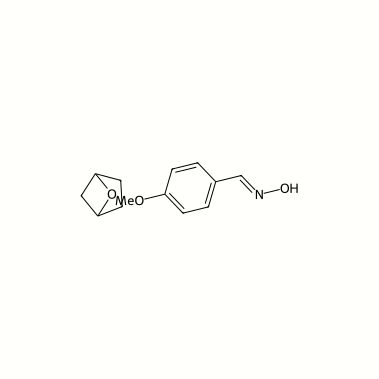 C1CC2CC1O2.COc1ccc(C=NO)cc1